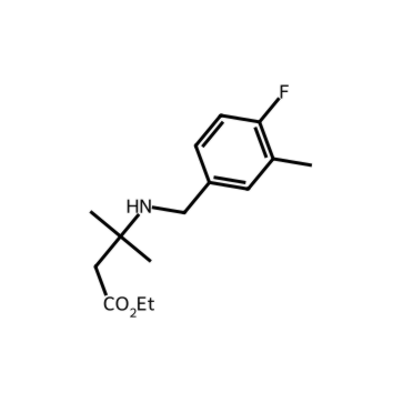 CCOC(=O)CC(C)(C)NCc1ccc(F)c(C)c1